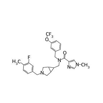 Cc1ccc(CN2CC3C(C2)C3CN(Cc2cccc(OC(F)(F)F)c2)C(=O)c2cn(C)cn2)cc1F